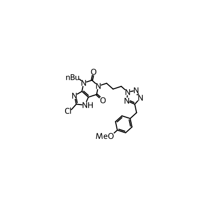 CCCCn1c(=O)n(CCCn2nnc(Cc3ccc(OC)cc3)n2)c(=O)c2[nH]c(Cl)nc21